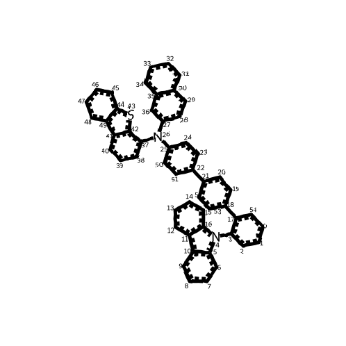 c1ccc(-n2c3ccccc3c3ccccc32)c(-c2ccc(-c3ccc(N(c4ccc5ccccc5c4)c4cccc5c4sc4ccccc45)cc3)cc2)c1